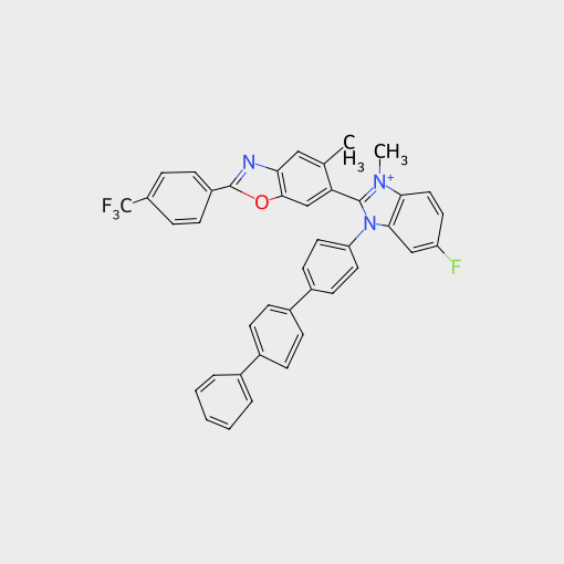 Cc1cc2nc(-c3ccc(C(F)(F)F)cc3)oc2cc1-c1n(-c2ccc(-c3ccc(-c4ccccc4)cc3)cc2)c2cc(F)ccc2[n+]1C